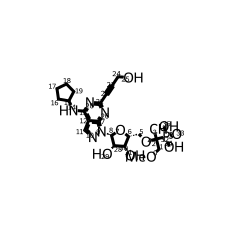 COCC(C)(OC[C@H]1O[C@@H](n2ncc3c(NC4CCCC4)nc(C#CCO)nc32)[C@H](O)[C@@H]1O)P(=O)(O)O